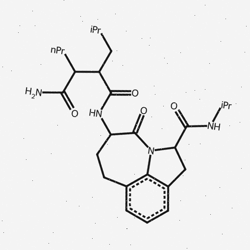 CCCC(C(N)=O)C(CC(C)C)C(=O)NC1CCc2cccc3c2N(C1=O)C(C(=O)NC(C)C)C3